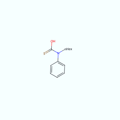 CCCCCCN(C(O)=S)c1ccccc1